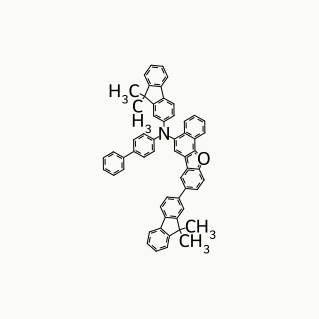 CC1(C)c2ccccc2-c2ccc(-c3ccc4oc5c6ccccc6c(N(c6ccc(-c7ccccc7)cc6)c6ccc7c(c6)C(C)(C)c6ccccc6-7)cc5c4c3)cc21